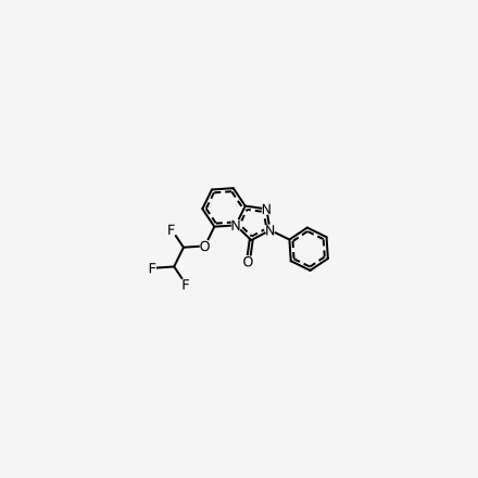 O=c1n(-c2ccccc2)nc2cccc(OC(F)C(F)F)n12